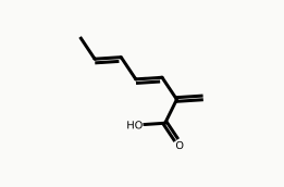 C=C(C=CC=CC)C(=O)O